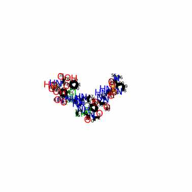 CC1COc2ccccc2N1C(=O)C(Cl)Cl.CCNc1nc(Cl)nc(NC(C)C)n1.COc1cc(OC)nc(NC(=O)NS(=O)(=O)c2ncccc2C(=O)N(C)C)n1.Nc1c([N+](=O)[O-])ccc(Oc2ccccc2)c1Cl.O=C(O)CNCP(=O)(O)O